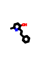 Cc1ccc(O)c(C=Cc2ccccc2)n1